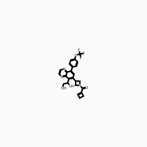 O=C(C1=CCC1)N1CC(c2cc(-c3ccc(OC(F)(F)F)cc3)c3nccnc3c2C(O)CO)C1